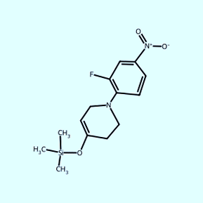 C[Si](C)(C)OC1=CCN(c2ccc([N+](=O)[O-])cc2F)CC1